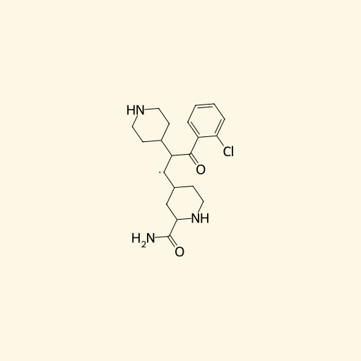 NC(=O)C1CC([CH]C(C(=O)c2ccccc2Cl)C2CCNCC2)CCN1